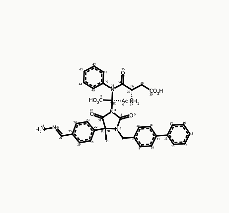 CC(=O)[C@@](C(=O)O)(N1C(=O)N(Cc2ccc(-c3ccccc3)cc2)[C@](C)(c2ccc(C=NN)cc2)C1=O)N(C(=O)[C@@H](N)CC(=O)O)c1ccccc1